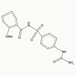 COc1ccccc1C(=O)NS(=O)(=O)c1ccc(NC(N)=O)cc1